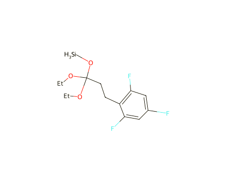 CCOC(CCc1c(F)cc(F)cc1F)(O[SiH3])OCC